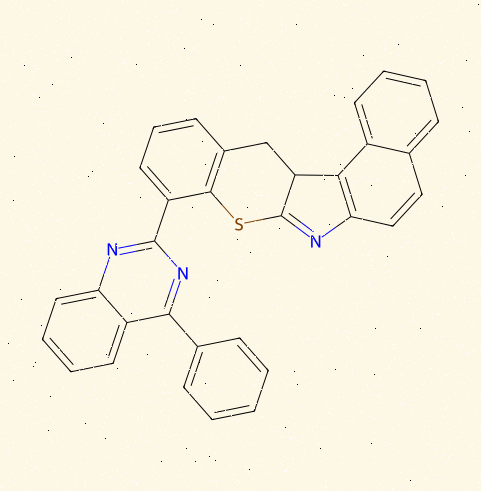 c1ccc(-c2nc(-c3cccc4c3SC3=Nc5ccc6ccccc6c5C3C4)nc3ccccc23)cc1